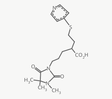 CN1C(=O)N(CCCC(CCSc2ccncc2)C(=O)O)C(=O)C1(C)C